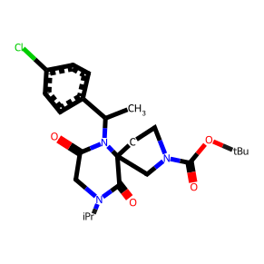 CC(C)N1CC(=O)N(C(C)c2ccc(Cl)cc2)C2(CCN(C(=O)OC(C)(C)C)C2)C1=O